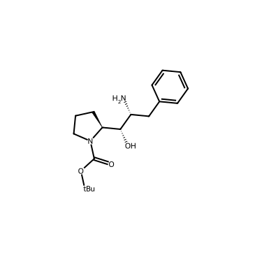 CC(C)(C)OC(=O)N1CCC[C@H]1[C@@H](O)[C@H](N)Cc1ccccc1